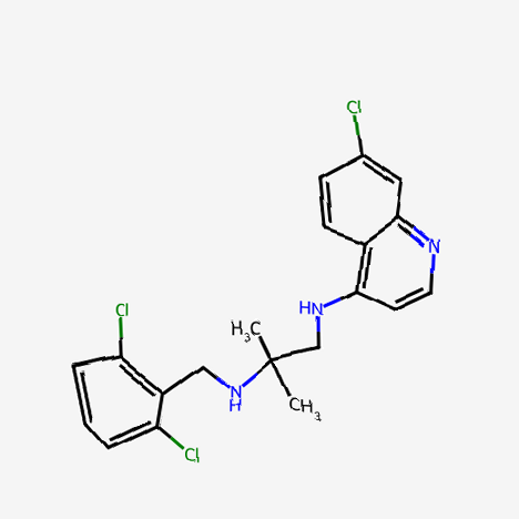 CC(C)(CNc1ccnc2cc(Cl)ccc12)NCc1c(Cl)cccc1Cl